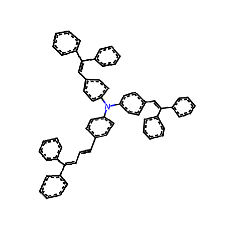 C(=Cc1ccc(N(c2ccc(C=C(c3ccccc3)c3ccccc3)cc2)c2ccc(C=C(c3ccccc3)c3ccccc3)cc2)cc1)C=C(c1ccccc1)c1ccccc1